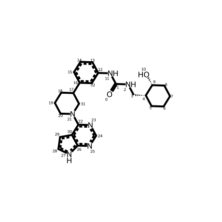 O=C(NC[C@H]1CCCC[C@H]1O)Nc1cccc(C2CCCN(c3ncnc4[nH]ccc34)C2)c1